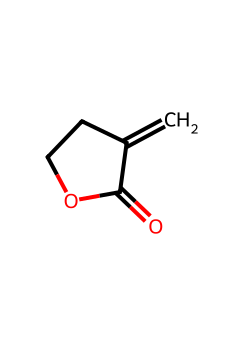 C=C1CCOC1=O